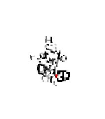 Cc1ccccc1COC1CC2CCC(C1)N2CC(C)Cn1c(=O)nc(C)n(C)c1=O